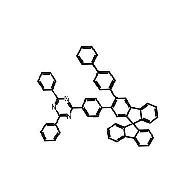 c1ccc(-c2ccc(-c3cc4c(cc3-c3ccc(-c5nc(-c6ccccc6)nc(-c6ccccc6)n5)cc3)C3(c5ccccc5-c5ccccc53)c3ccccc3-4)cc2)cc1